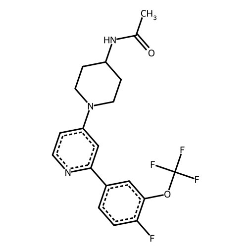 CC(=O)NC1CCN(c2ccnc(-c3ccc(F)c(OC(F)(F)F)c3)c2)CC1